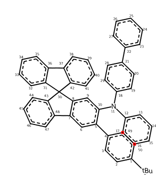 CC(C)(C)c1ccc(-c2cc3c(cc2N(c2ccccc2)c2ccc(-c4ccccc4)cc2)C2(c4ccccc4-c4ccccc42)c2ccccc2-3)cc1